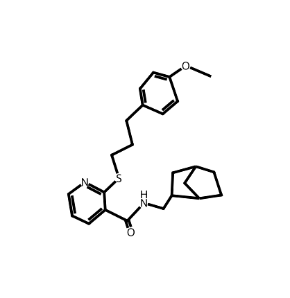 COc1ccc(CCCSc2ncccc2C(=O)NCC2CC3CCC2C3)cc1